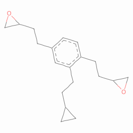 c1cc(CCC2CO2)c(CCC2CC2)cc1CCC1CO1